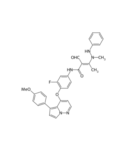 COc1ccc(-c2ccn3nccc(Oc4ccc(NC(=O)/C(C=O)=C(\C)N(C)Nc5ccccc5)cc4F)c23)cc1